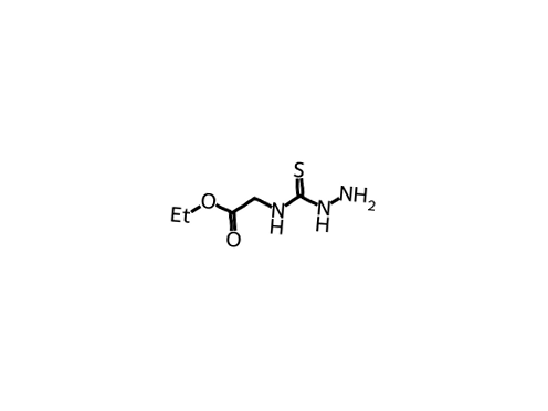 CCOC(=O)CNC(=S)NN